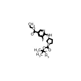 CCOC(=O)c1cnc(N[C@@H]2CCN(C(=O)OC(C)(C)C)C2)c(F)c1